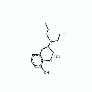 CCCN(CCC)C1COc2c(O)cccc2C1.Cl